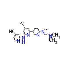 CN(C)C1CCN(c2ccc(-c3cc(C4CC4)cc(Nc4cc(C#N)ccn4)n3)cn2)C1